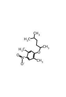 Cc1cc([N+](=O)[O-])c(C)cc1OC(C)CCC(C)C